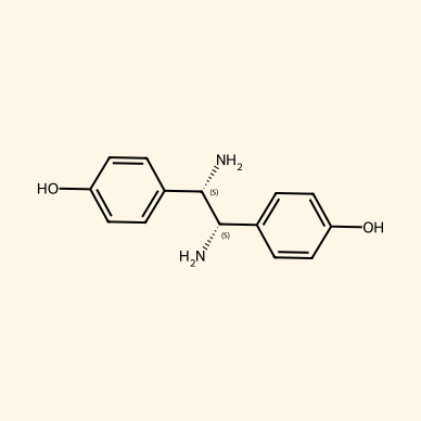 N[C@@H](c1ccc(O)cc1)[C@@H](N)c1ccc(O)cc1